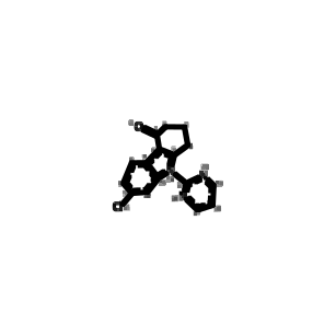 O=C1CCCc2c1c1ccc(Cl)cc1n2-c1ncccn1